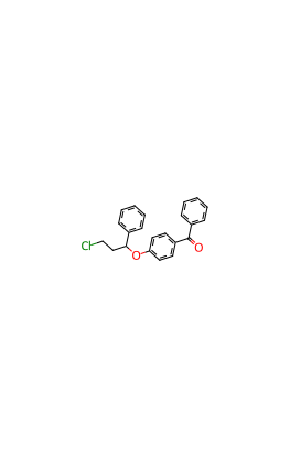 O=C(c1ccccc1)c1ccc(OC(CCCl)c2ccccc2)cc1